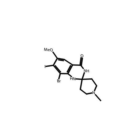 COc1cc2c(c(Br)c1I)NC1(CCN(C)CC1)NC2=O